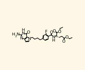 CCOC(=O)CC[C@H](NC(=O)c1ccc(CCCCn2ccc3nc(N)[nH]c(=O)c32)cc1F)C(=O)OCC